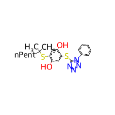 CCCCCC(C)(C)Sc1cc(O)c(Sc2nnnn2-c2ccccc2)cc1O